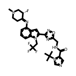 CN1CC/C(=N\c2cccc3c2cc(-c2noc(CNC(=O)c4cncn4C(C)(C)C)n2)n3CC(F)(F)F)[C@@H](F)C1